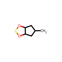 [CH2]C1CC2OSOC2C1